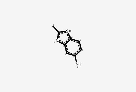 Cc1nc2cc([NH])ccc2s1